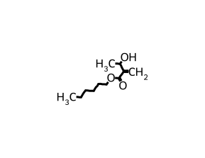 C=C(C(=O)OCCCCCC)C(C)O